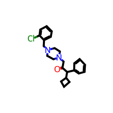 O=C(CN1CCN(Cc2ccccc2Cl)CC1)C(c1ccccc1)C1CCC1